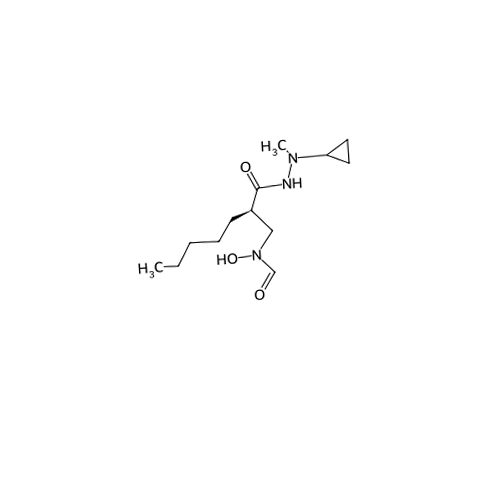 CCCCC[C@H](CN(O)C=O)C(=O)NN(C)C1CC1